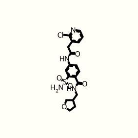 NS(=O)(=O)c1cc(NC(=O)Cc2cccnc2Cl)ccc1C(=O)NCC1CCOC1